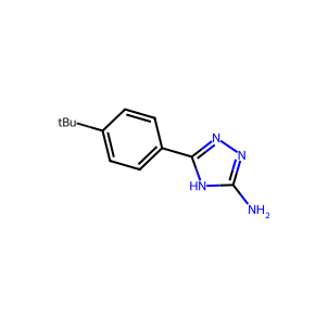 CC(C)(C)c1ccc(-c2nnc(N)[nH]2)cc1